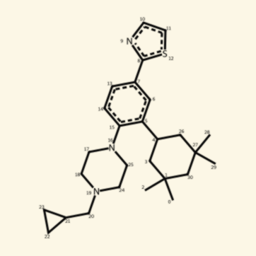 CC1(C)CC(c2cc(-c3nccs3)ccc2N2CCN(CC3CC3)CC2)CC(C)(C)C1